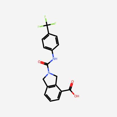 O=C(O)c1cccc2c1CN(C(=O)Nc1ccc(C(F)(F)F)cc1)C2